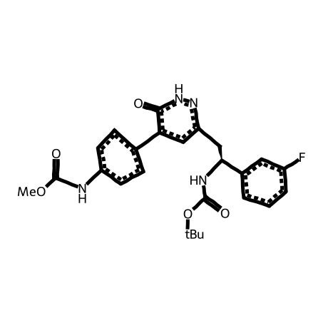 COC(=O)Nc1ccc(-c2cc(C[C@H](NC(=O)OC(C)(C)C)c3cccc(F)c3)n[nH]c2=O)cc1